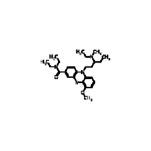 CCC(CCN1c2ccc(C(=O)N(CC)CC)cc2Sc2c(OC)cccc21)N(C)CC